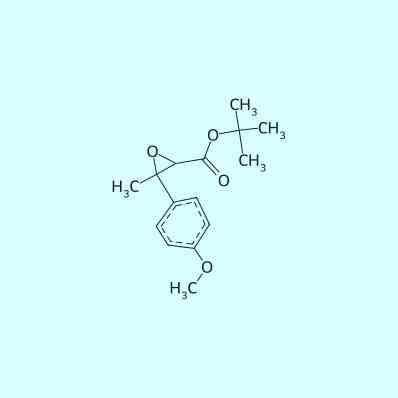 COc1ccc(C2(C)OC2C(=O)OC(C)(C)C)cc1